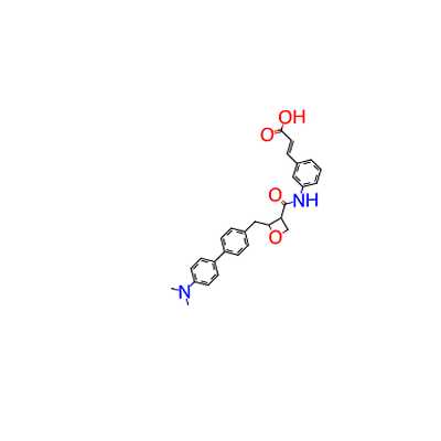 CN(C)c1ccc(-c2ccc(CC3OCC3C(=O)Nc3cccc(/C=C/C(=O)O)c3)cc2)cc1